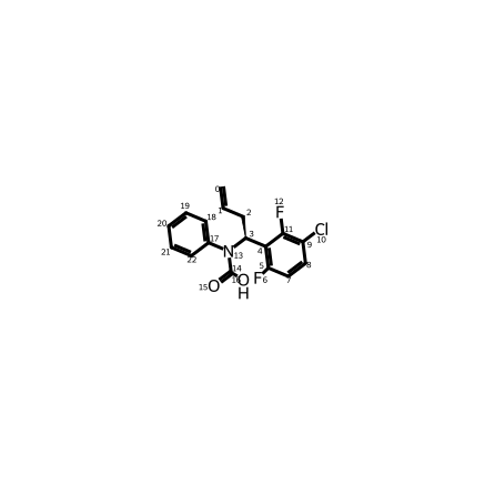 C=CC[C@@H](c1c(F)ccc(Cl)c1F)N(C(=O)O)c1ccccc1